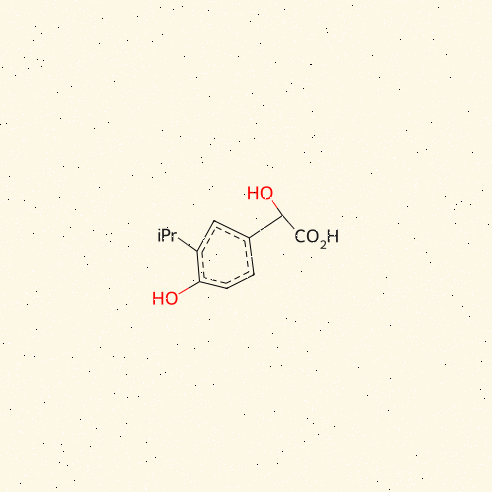 CC(C)c1cc(C(O)C(=O)O)ccc1O